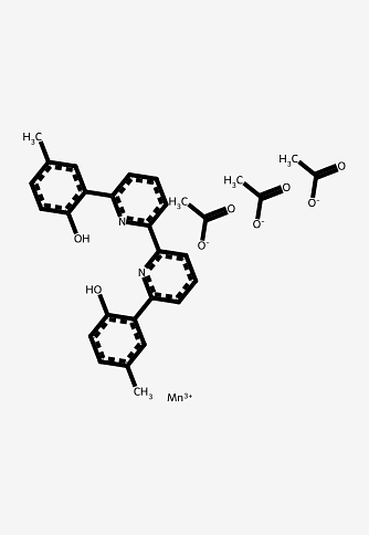 CC(=O)[O-].CC(=O)[O-].CC(=O)[O-].Cc1ccc(O)c(-c2cccc(-c3cccc(-c4cc(C)ccc4O)n3)n2)c1.[Mn+3]